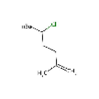 C=C(C)CCC(Cl)CCCC